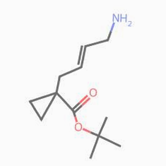 CC(C)(C)OC(=O)C1(CC=CCN)CC1